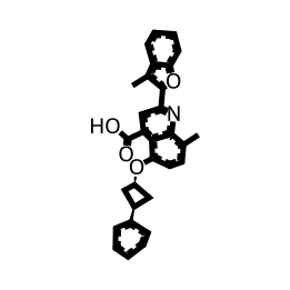 Cc1c(-c2cc(C(=O)O)c3c(O[C@H]4C[C@H](c5ccccc5)C4)ccc(C)c3n2)oc2ccccc12